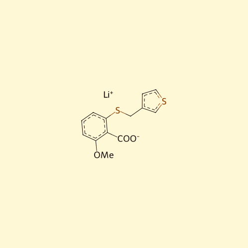 COc1cccc(SCc2ccsc2)c1C(=O)[O-].[Li+]